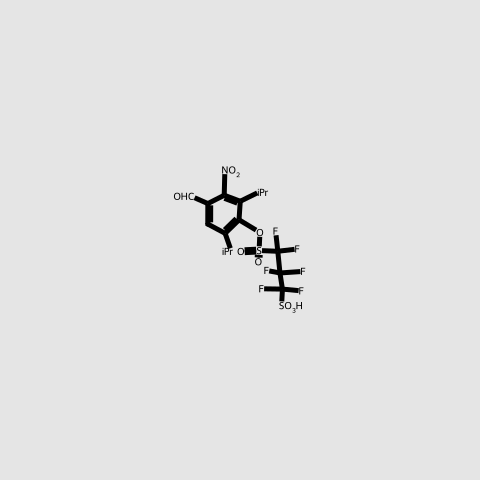 CC(C)c1cc(C=O)c([N+](=O)[O-])c(C(C)C)c1OS(=O)(=O)C(F)(F)C(F)(F)C(F)(F)S(=O)(=O)O